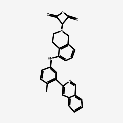 Cc1ccc(Nc2cccc3c2CCN(C2C(=O)SC2=O)C3)cc1-c1cc2ccccc2cn1